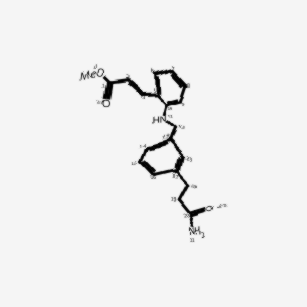 COC(=O)C=Cc1ccccc1NCc1cccc(CCC(N)=O)c1